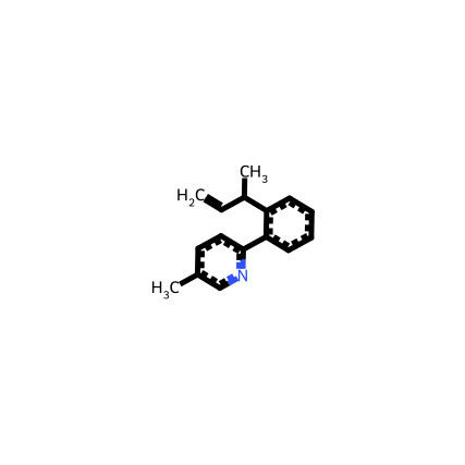 C=CC(C)c1ccccc1-c1ccc(C)cn1